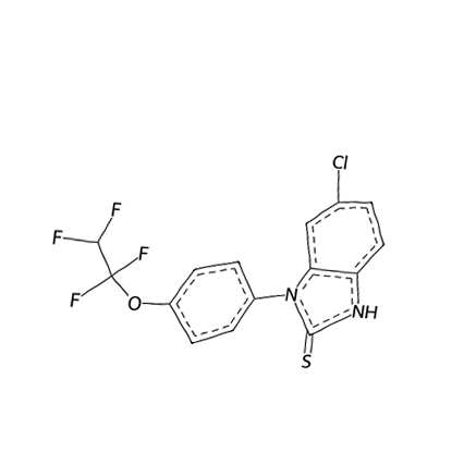 FC(F)C(F)(F)Oc1ccc(-n2c(=S)[nH]c3ccc(Cl)cc32)cc1